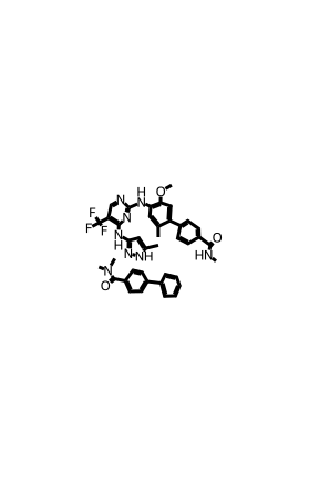 CN(C)C(=O)c1ccc(-c2ccccc2)cc1.CNC(=O)c1ccc(-c2cc(OC)c(Nc3ncc(C(F)(F)F)c(Nc4cc(C)[nH]n4)n3)cc2C)cc1